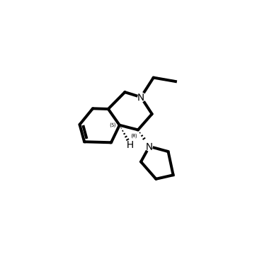 CCN1CC2CC=CC[C@@H]2[C@@H](N2CCCC2)C1